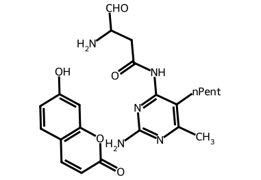 CCCCCc1c(C)nc(N)nc1NC(=O)CC(N)C=O.O=c1ccc2ccc(O)cc2o1